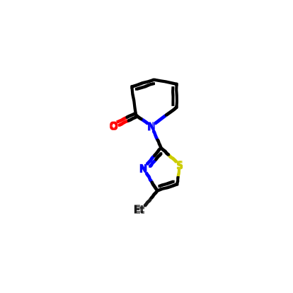 CCc1csc(-n2ccccc2=O)n1